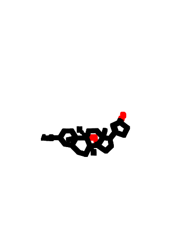 CC(=O)OC1CCC2(C)C(CC[C@@H]3[C@@H]2CCC2(C)C(C4=CC(=O)CC4)CCC32O)C1